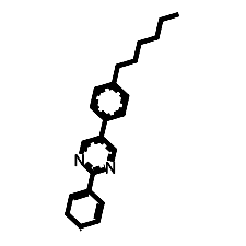 CCCCCCc1ccc(-c2cnc(C3=CC[CH]C=C3)nc2)cc1